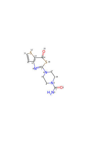 NC(=O)N1CCN(c2nc3ccsc3c(=O)s2)CC1